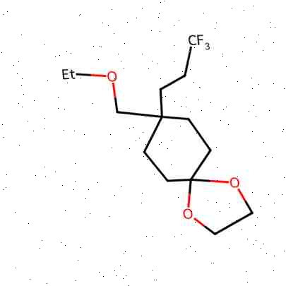 CCOCC1(CCC(F)(F)F)CCC2(CC1)OCCO2